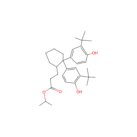 CC(C)OC(=O)CCC1CCCCC1(c1ccc(O)c(C(C)(C)C)c1)c1ccc(O)c(C(C)(C)C)c1